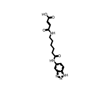 O=C(O)C=CC(=O)NCCCCCC(=O)Nc1ccc2[nH]nnc2c1